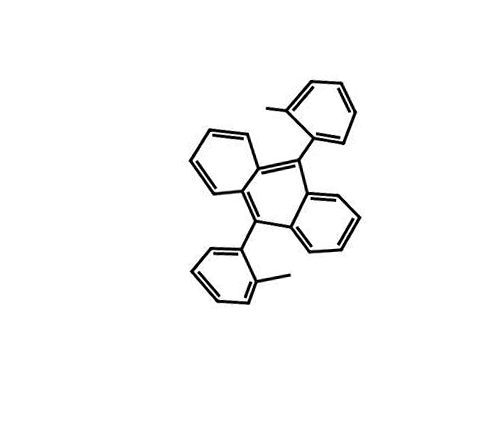 Cc1ccccc1-c1c2ccccc2c(-c2ccccc2C)c2ccccc12